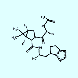 CC(C)(C)[C@H](NC(=O)C(F)(F)F)C(=O)N1C[C@H]2[C@@H]([C@H]1C(=O)N[C@@H](C#N)C[C@H]1CCc3ccnn31)C2(C)C